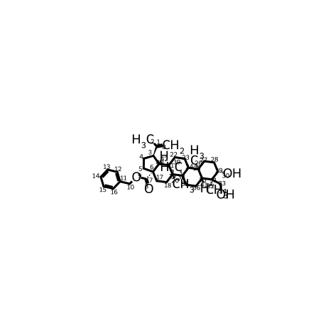 C=C(C)[C@@H]1CC[C@]2(C(=O)OCc3ccccc3)CC[C@]3(C)C(CCC4[C@@]5(C)CC[C@H](O)[C@@](C)(CO)[C@@H]5CC[C@]43C)[C@@H]12